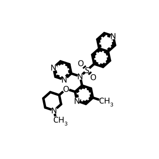 Cc1cnc(OC2CCCN(C)C2)c(N(c2ccncn2)S(=O)(=O)c2ccc3cnccc3c2)c1